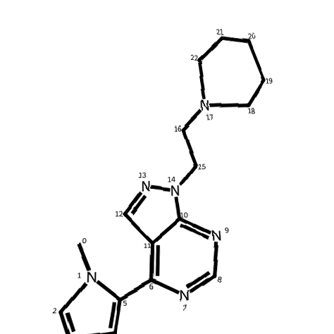 Cn1cccc1-c1ncnc2c1cnn2CCN1CCCCC1